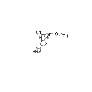 Nc1nc2cc(-c3cc[nH]n3)ccc2c2nn(CCOCCO)cc12